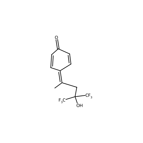 CC(CC(O)(C(F)(F)F)C(F)(F)F)=C1C=CC(=O)C=C1